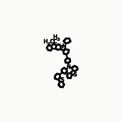 CC1(C)c2ccccc2-c2cc3c4cc(-c5ccc(N(c6ccc(-c7cccc8c7sc7ccccc78)cc6)c6cccc7sc8ccccc8c67)cc5)ccc4n(-c4ccccc4)c3cc21